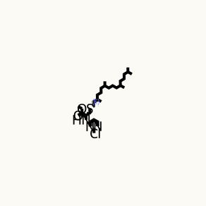 COC(=O)C(CSC/C=C(\C)CCCC(C)CCCC(C)CCCC(C)C)Nc1ccnc(Cl)n1